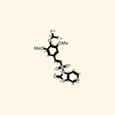 COc1cc(/C=C/S(=O)(=O)n2c(=O)sc3cnccc32)cc(OC)c1OC(F)F